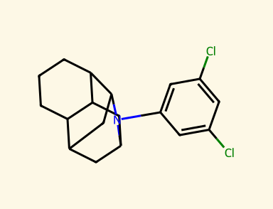 Clc1cc(Cl)cc(N2C3CC4CC2C2CCCC4C2C3)c1